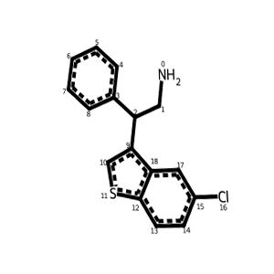 NCC(c1ccccc1)c1csc2ccc(Cl)cc12